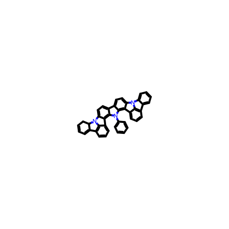 C1=CCC2C(=C1)c1cccc3c4c5c(ccc4n2c13)c1ccc2c(c3cccc4c6ccccc6n2c43)c1n5-c1ccccc1